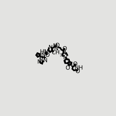 Cc1cc(NC(=O)Nc2cnc3ccnn3c2C2CCCC2)cnc1-c1noc(CCC(=O)N2CCN(c3ccc4c(c3)CN(C3CCC(=O)NC3=O)C4=O)CC2)n1